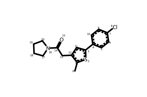 Cc1sc(-c2ccc(Cl)cc2)cc1CC(=O)N1CCCC1